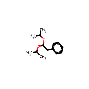 CC(C)OC(Cc1ccccc1)OC(C)C